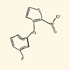 O=[N+]([O-])c1sccc1Oc1cccc(F)c1